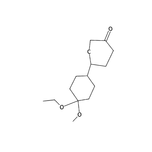 CCOC1(OC)CCC(C2CCC(=O)CC2)CC1